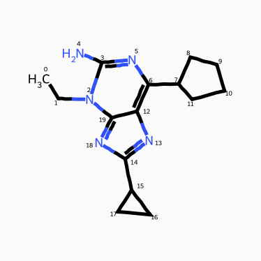 CCn1c(N)nc(C2CCCC2)c2nc(C3CC3)nc1-2